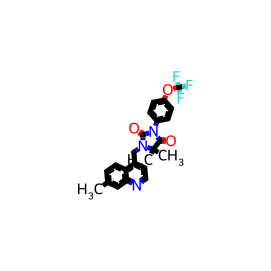 Cc1ccc2c(CN3C(=O)N(c4ccc(OC(F)(F)F)cc4)C(=O)C3(C)C)ccnc2c1